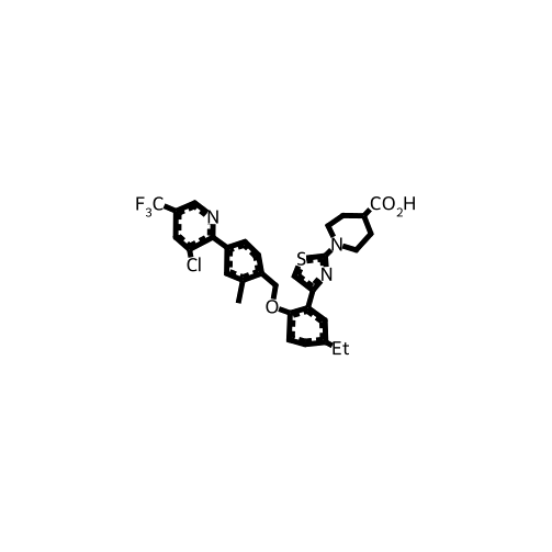 CCc1ccc(OCc2ccc(-c3ncc(C(F)(F)F)cc3Cl)cc2C)c(-c2csc(N3CCC(C(=O)O)CC3)n2)c1